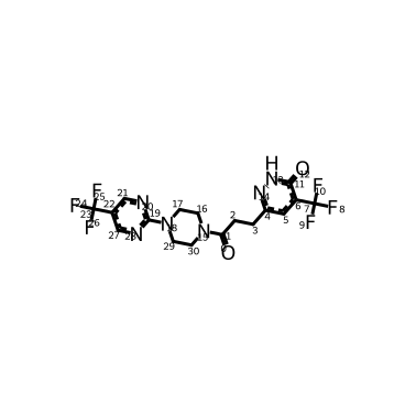 O=C(CCc1cc(C(F)(F)F)c(=O)[nH]n1)N1CCN(c2ncc(C(F)(F)F)cn2)CC1